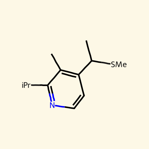 CSC(C)c1ccnc(C(C)C)c1C